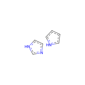 c1c[nH]cn1.c1cc[nH]c1